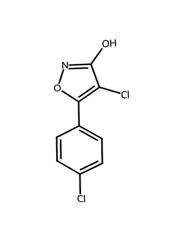 Oc1noc(-c2ccc(Cl)cc2)c1Cl